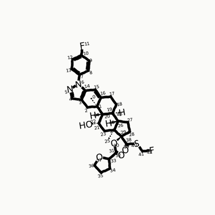 C[C@]12Cc3cnn(-c4ccc(F)cc4)c3C=C1CC[C@@H]1[C@@H]2[C@@H](O)C[C@@]2(C)[C@H]1CC[C@]2(OC(=O)C1CCCO1)C(=O)SCF